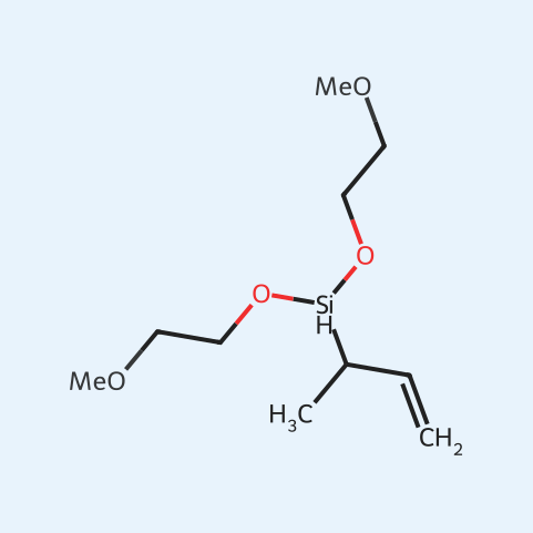 C=CC(C)[SiH](OCCOC)OCCOC